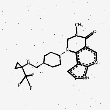 CN1CN([C@H]2CC[C@H](CNC3(C(F)(F)F)CC3)CC2)c2c(cnc3[nH]ccc23)C1=O